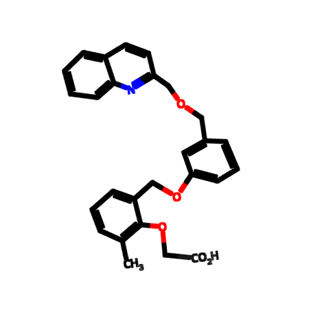 Cc1cccc(COc2cccc(COCc3ccc4ccccc4n3)c2)c1OCC(=O)O